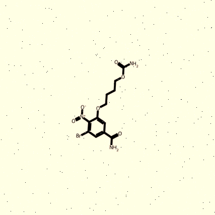 NC(=O)OCCCCOc1cc(C(N)=O)cc(Br)c1[N+](=O)[O-]